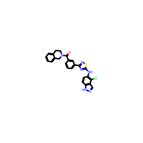 O=C(c1cccc(-c2nsc(Nc3ccc4[nH]ncc4c3Cl)n2)c1)N1CCc2ccccc2C1